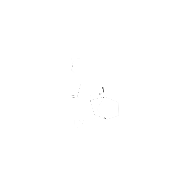 CCOC(=O)[C@@H]1[C@@H]2CCC(C2)[C@@H]1N